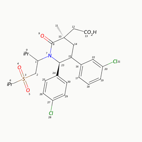 CC(C)C(CS(=O)(=O)C(C)C)N1C(=O)[C@@](C)(CC(=O)O)CC(c2cccc(Cl)c2)[C@H]1c1ccc(Cl)cc1